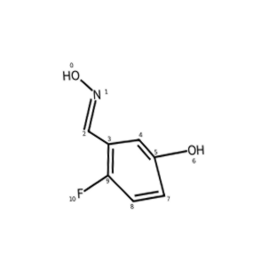 O/N=C/c1cc(O)ccc1F